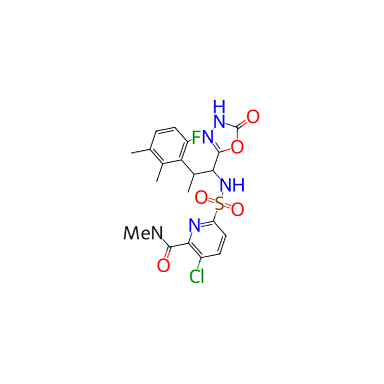 CNC(=O)c1nc(S(=O)(=O)NC(c2n[nH]c(=O)o2)C(C)c2c(F)ccc(C)c2C)ccc1Cl